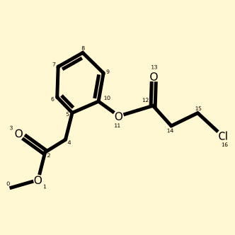 COC(=O)Cc1ccccc1OC(=O)CCCl